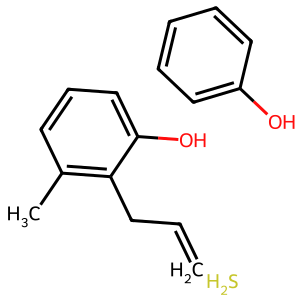 C=CCc1c(C)cccc1O.Oc1ccccc1.S